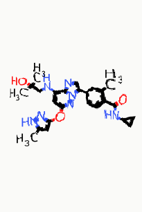 Cc1cc(Oc2cc(NCC(C)(C)O)c3ncc(-c4ccc(C(=O)NC5CC5)c(C)c4)n3n2)n[nH]1